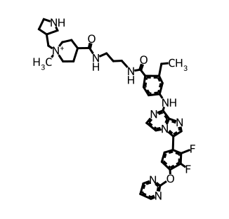 CCc1cc(Nc2nccn3c(-c4ccc(Oc5ncccn5)c(F)c4F)cnc23)ccc1C(=O)NCCCNC(=O)C1CC[N+](C)(CC2CCNC2)CC1